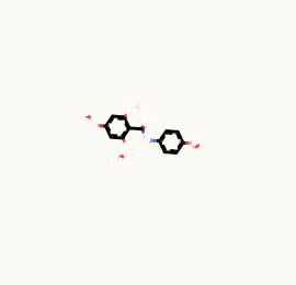 COc1ccc(NC(=O)c2c(O)cc(OC)cc2OC)cc1